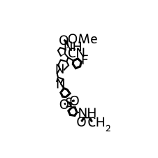 C=CC(=O)Nc1cccc(S(=O)(=O)c2ccc(N3CC(CN4CCC([C@@](C#N)(c5cccc(F)c5)[C@H]5CCC[C@@H]5NC(=O)OC)CC4)C3)cc2)c1